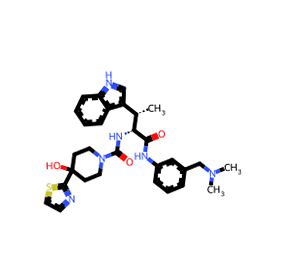 C[C@@H](c1c[nH]c2ccccc12)[C@@H](NC(=O)N1CCC(O)(c2nccs2)CC1)C(=O)Nc1cccc(CN(C)C)c1